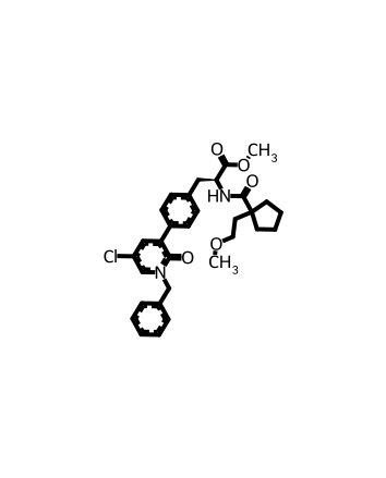 COCCC1(C(=O)N[C@@H](Cc2ccc(-c3cc(Cl)cn(Cc4ccccc4)c3=O)cc2)C(=O)OC)CCCC1